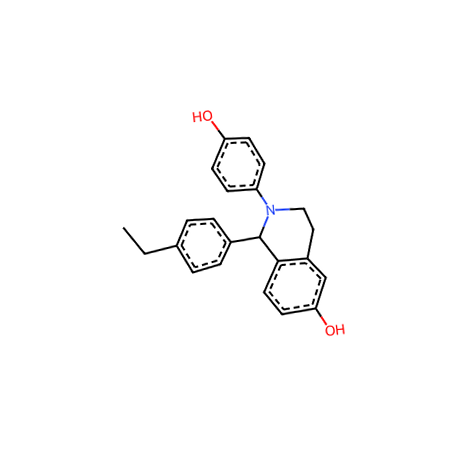 CCc1ccc(C2c3ccc(O)cc3CCN2c2ccc(O)cc2)cc1